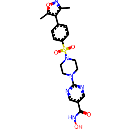 Cc1noc(C)c1-c1ccc(S(=O)(=O)N2CCN(c3ncc(C(=O)NO)cn3)CC2)cc1